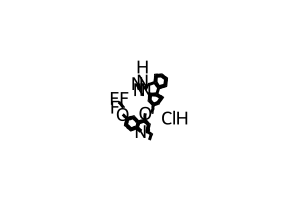 CCc1cc(OCc2ccc(-c3ccccc3-c3nnn[nH]3)cc2)c2cc(OCC(F)(F)F)ccc2n1.Cl